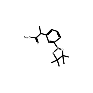 COC(=O)C(C)c1cccc(B2OC(C)(C)C(C)(C)O2)c1